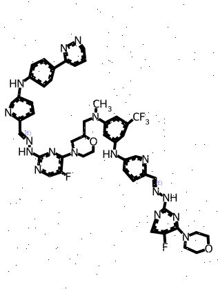 CN(CC1CN(c2nc(N/N=C/c3ccc(Nc4ccc(-c5cccnn5)cc4)cn3)ncc2F)CCO1)c1cc(Nc2ccc(/C=N/Nc3ncc(F)c(N4CCOCC4)n3)nc2)cc(C(F)(F)F)c1